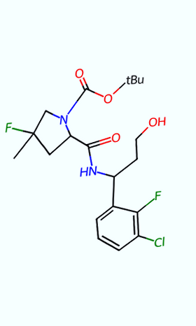 CC1(F)CC(C(=O)NC(CCO)c2cccc(Cl)c2F)N(C(=O)OC(C)(C)C)C1